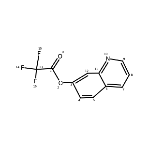 O=C(Oc1ccc2cccnc2c1)C(F)(F)F